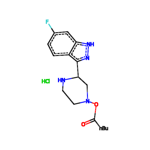 CCCCC(=O)ON1CCNC(c2n[nH]c3cc(F)ccc23)C1.Cl